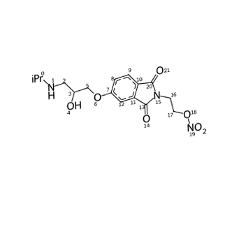 CC(C)NCC(O)COc1ccc2c(c1)C(=O)N(CCO[N+](=O)[O-])C2=O